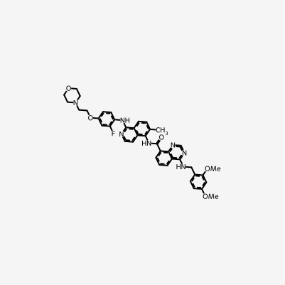 COc1ccc(CNc2ncnc3c(C(=O)Nc4c(C)ccc5c(Nc6ccc(OCCN7CCOCC7)cc6F)nccc45)cccc23)c(OC)c1